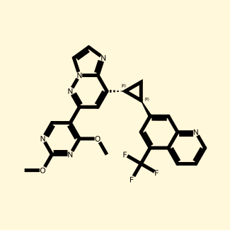 COc1ncc(-c2cc([C@@H]3C[C@H]3c3cc(C(F)(F)F)c4cccnc4c3)c3nccn3n2)c(OC)n1